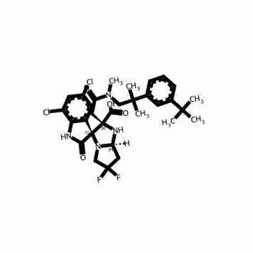 CN(CC(C)(C)c1cccc(C(C)(C)C)c1)C(=O)C[C@@]1(C(=O)O)N[C@H]2CC(F)(F)CN2[C@]12C(=O)Nc1c(Cl)cc(Cl)cc12